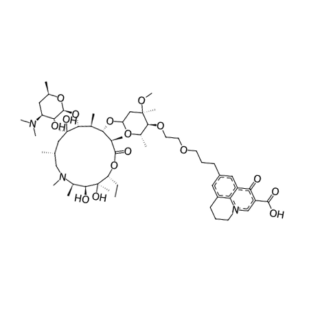 CC[C@H]1OC(=O)[C@H](C)[C@@H](OC2C[C@@](C)(OC)[C@@H](OCCOCCCc3cc4c5c(c3)c(=O)c(C(=O)O)cn5CCC4)[C@H](C)O2)[C@H](C)[C@@H](O[C@@H]2O[C@H](C)C[C@H](N(C)C)[C@H]2O)[C@](C)(O)C[C@@H](C)CN(C)[C@H](C)[C@H](O)[C@]1(C)O